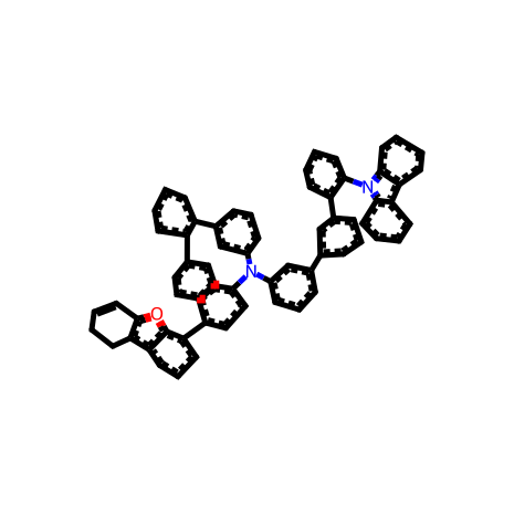 C1=Cc2oc3c(-c4ccc(N(c5cccc(-c6cccc(-c7ccccc7-n7c8ccccc8c8ccccc87)c6)c5)c5cccc(-c6ccccc6-c6ccccc6)c5)cc4)cccc3c2CC1